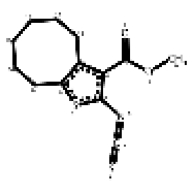 COC(=O)c1c(N=C=S)sc2c1CCCCCC2